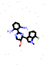 COc1cnc(-c2c(N)cccc2N)nc1-c1cn(C)c2c(F)cccc12